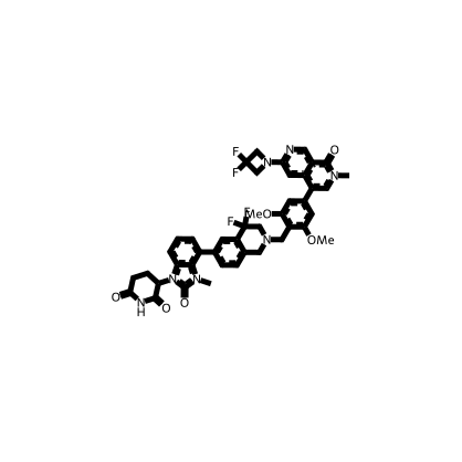 COc1cc(-c2cn(C)c(=O)c3cnc(N4CC(F)(F)C4)cc23)cc(OC)c1CN1Cc2ccc(-c3cccc4c3n(C)c(=O)n4C3CCC(=O)NC3=O)cc2C(F)(F)C1